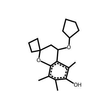 Cc1c(C)c2c(c(C)c1O)C(OC1CCCC1)CC1(CCC1)O2